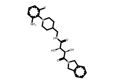 Nc1cccc(F)c1N1CCC(CNC(=O)[C@H](O)[C@@H](O)C(=O)N2Cc3ccccc3C2)CC1